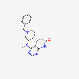 CN(c1ncnc2c1CCC(=O)N2)C1CCCN(Cc2ccccc2)C1